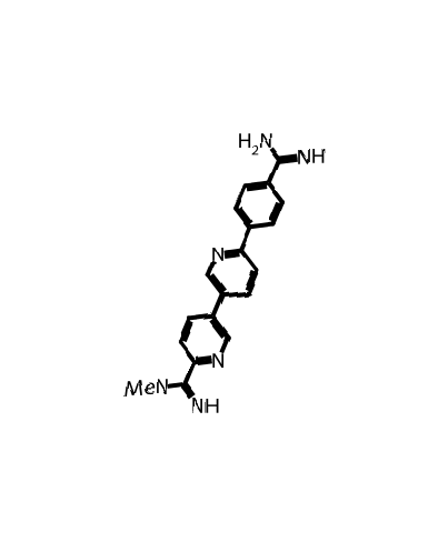 CNC(=N)c1ccc(-c2ccc(-c3ccc(C(=N)N)cc3)nc2)cn1